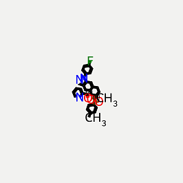 Cc1ccc(S(=O)(=O)[C@@]2(C)CCC3=Cc4c(cnn4-c4ccc(F)cc4)C[C@]3(C(=O)c3ccccn3)C2)cc1